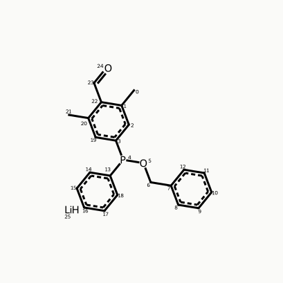 Cc1cc(P(OCc2ccccc2)c2ccccc2)cc(C)c1C=O.[LiH]